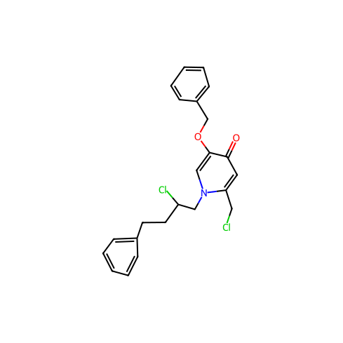 O=c1cc(CCl)n(CC(Cl)CCc2ccccc2)cc1OCc1ccccc1